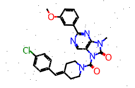 COc1cccc(-c2ncc3c(n2)n(C)c(=O)n3C(=O)N2CCC(=Cc3ccc(Cl)cc3)CC2)c1